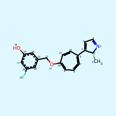 C[C@H]1N=CC=C1C1=C=CC=C(OCc2cc(O)cc(F)c2)C=C1